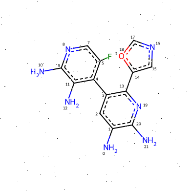 Nc1cc(-c2c(F)cnc(N)c2N)c(-c2cnco2)nc1N